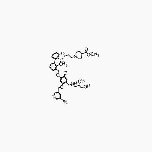 COC(=O)C1CCN(CCCOc2cccc(-c3cccc(COc4cc(OCc5cncc(C#N)c5)c(CNC[C@H](O)CO)cc4Cl)c3C)c2Cl)CC1